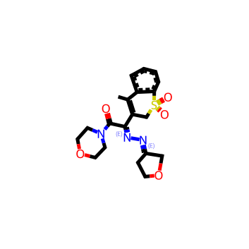 CC1=C(/C(=N\N=C2/CCOC2)C(=O)N2CCOCC2)CS(=O)(=O)c2ccccc21